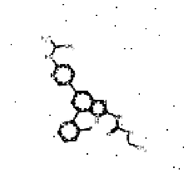 CCNC(=O)Nc1nc2cc(-c3ccc(NC(C)C)nc3)cc(-c3ncccc3F)c2[nH]1